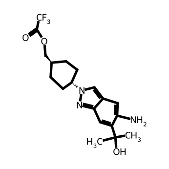 CC(C)(O)c1cc2nn([C@H]3CC[C@H](COC(=O)C(F)(F)F)CC3)cc2cc1N